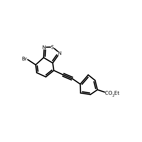 CCOC(=O)c1ccc(C#Cc2ccc(Br)c3nsnc23)cc1